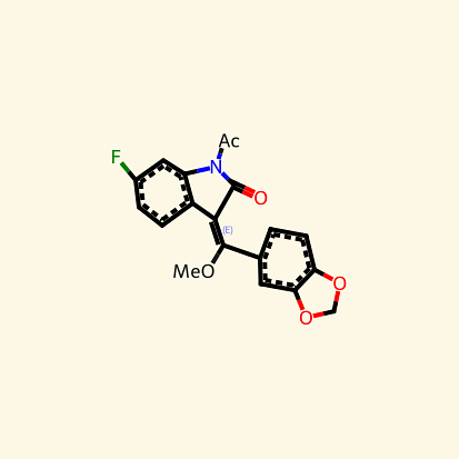 CO/C(=C1/C(=O)N(C(C)=O)c2cc(F)ccc21)c1ccc2c(c1)OCO2